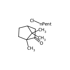 CC12CCC(CC1=O)C2(C)C.CCCCCCl